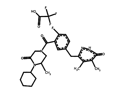 Cc1c(Cc2ccc(F)c(C(=O)N3CC(=O)N(C4CCCCC4)C(C)C3)c2)n[nH]c(=O)c1C.O=C(O)C(F)(F)F